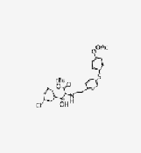 CC(=O)OOc1ccc(Sc2ccc(CCNC(C(=O)OC(C)(C)C)[C@H](O)c3cccc(Cl)c3)cc2)cc1